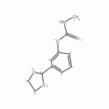 CNC(=O)Oc1cccc(C2OCCO2)c1